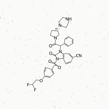 N#Cc1ccc2c(c1)n(C(C(=O)N1CC[C@H](N3CCNCC3)C1)c1ccccc1)c(=O)n2S(=O)(=O)c1ccc(OCC(F)F)cc1